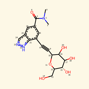 CN(C)C(=O)c1cc(C#CC2OC(CO)[C@@H](O)C(O)C2O)c2[nH]ncc2c1